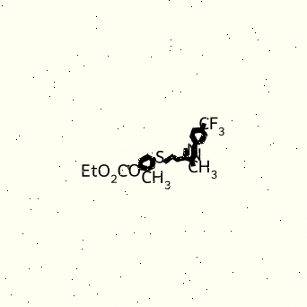 CCOC(=O)COc1ccc(SCCCc2cn(-c3ccc(C(F)(F)F)cc3)nc2C)cc1C